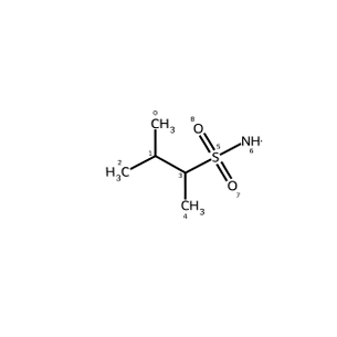 CC(C)C(C)S([NH])(=O)=O